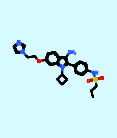 CCCS(=O)(=O)Nc1ccc(-c2c(N)c3ccc(OCCn4ccnc4)cc3n2C2CCC2)cc1